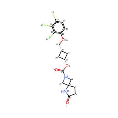 O=C1CCC2(CN(C(=O)O[C@H]3C[C@@H](COc4ccc(F)c(F)c4F)C3)C2)N1